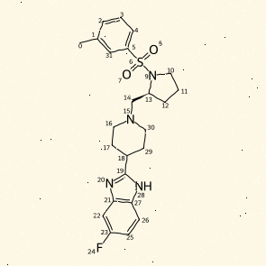 Cc1cccc(S(=O)(=O)N2CCC[C@H]2CN2CCC(c3nc4cc(F)ccc4[nH]3)CC2)c1